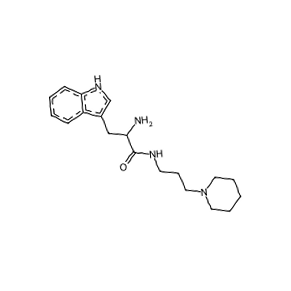 NC(Cc1c[nH]c2ccccc12)C(=O)NCCCN1CCCCC1